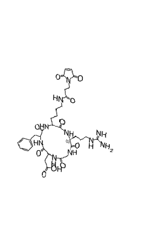 N=C(N)NCCC[C@@H]1NC(=O)C(CCCCNC(=O)CCN2C(=O)C=CC2=O)NC(=O)C(Cc2ccccc2)NC(=O)C(CC(=O)O)NC(=O)CNC1=O